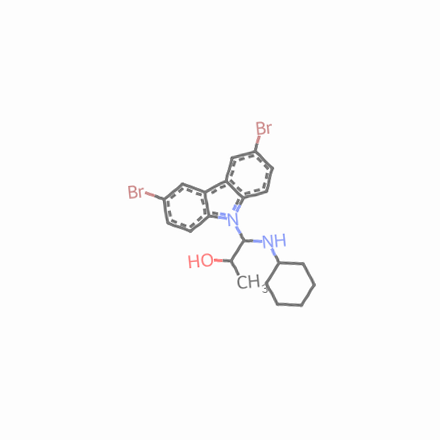 CC(O)C(NC1CCCCC1)n1c2ccc(Br)cc2c2cc(Br)ccc21